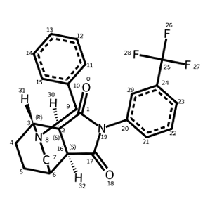 O=C1[C@@H]2[C@H]3CCC(CN3Cc3ccccc3)[C@@H]2C(=O)N1c1cccc(C(F)(F)F)c1